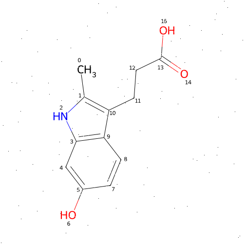 Cc1[nH]c2cc(O)ccc2c1CCC(=O)O